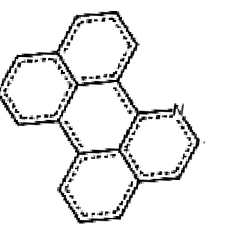 [c]1cc2cccc3c4cccc5cccc(c(n1)c23)c54